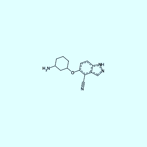 N#Cc1c(OC2CCCC(N)C2)ccc2[nH]ncc12